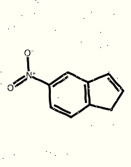 O=[N+]([O-])c1ccc2c(c1)[C]=CC2